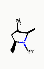 BC1CC(=C)N(C(C)C)C1=C